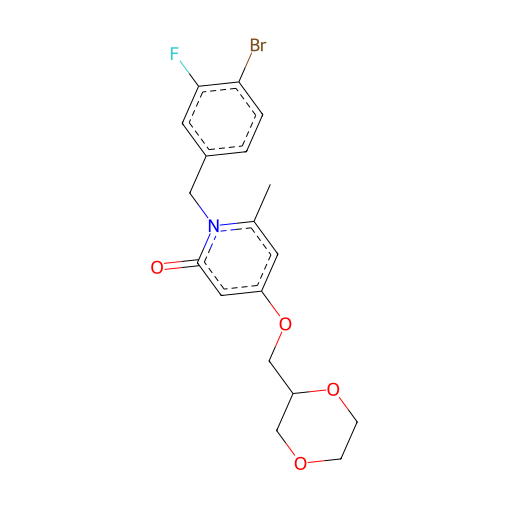 Cc1cc(OCC2COCCO2)cc(=O)n1Cc1ccc(Br)c(F)c1